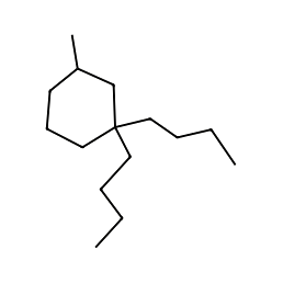 CCCCC1(CCCC)CCCC(C)C1